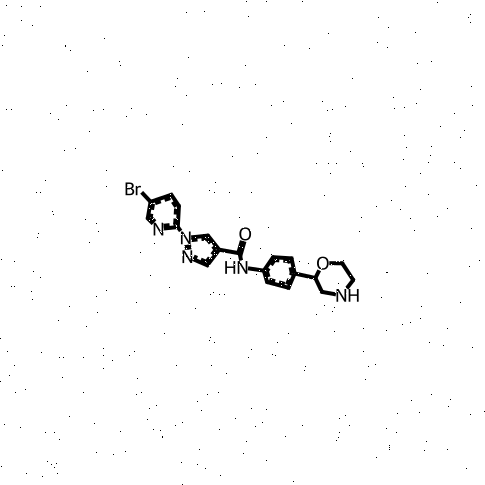 O=C(Nc1ccc(C2CNCCO2)cc1)c1cnn(-c2ccc(Br)cn2)c1